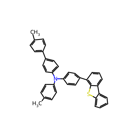 Cc1ccc(-c2ccc(N(c3ccc(C)cc3)c3ccc(-c4cccc5c4sc4ccccc45)cc3)cc2)cc1